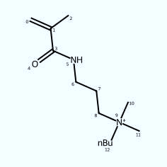 C=C(C)C(=O)NCCC[N+](C)(C)CCCC